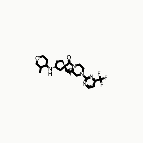 CC1COCCC1N[C@@H]1CC[C@@]2(C1)C(=O)N1CCN(c3nccc(C(F)(F)F)n3)CC13OCCC32